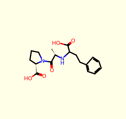 C[C@H](NC(CCc1ccccc1)C(=O)O)C(=O)N1CCC[C@H]1C(=O)O